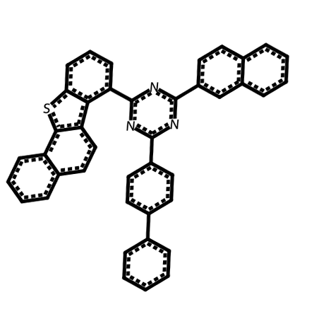 c1ccc(-c2ccc(-c3nc(-c4ccc5ccccc5c4)nc(-c4cccc5sc6c7ccccc7ccc6c45)n3)cc2)cc1